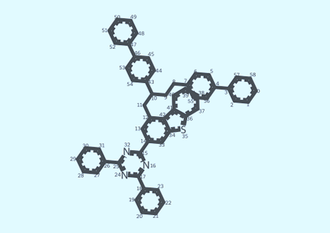 c1ccc(-c2ccc(CCC(Cc3cc(-c4nc(-c5ccccc5)nc(-c5ccccc5)n4)cc4sc5ccccc5c34)c3ccc(-c4ccccc4)cc3)cc2)cc1